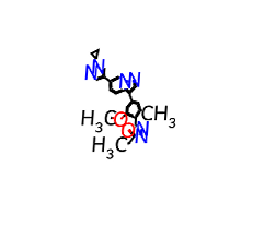 CCc1nnc(-c2c(C)cc(-c3cnn4cc(-c5cnn(C6CC6)c5)ccc34)cc2OC)o1